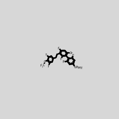 CCCCCc1cc(F)c(-c2c([O])cc(F)c(CCc3cc(F)c(OC(F)(F)F)c(F)c3)c2F)c(F)c1